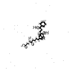 COC(=O)CCNC(=O)CCCCC1=C[C@H]2C[C@@H](O)[C@H](/C=C/[C@@H](O)c3ccccc3)[C@H]2C1